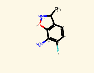 CC1NOc2c1ccc(F)c2N